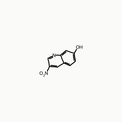 O=[N+]([O-])c1cnc2cc(O)ccc2c1